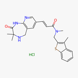 Cc1c(CN(C)C(=O)C=Cc2cnc3c(c2)CNC(C)(C)C(=O)N3)sc2ccccc12.Cl